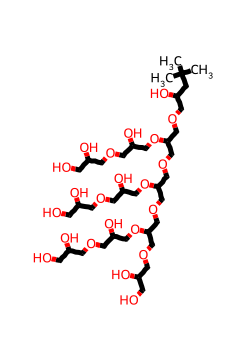 CC(C)(C)CC(O)COCC(COCC(COCC(COCC(O)CO)OCC(O)COCC(O)CO)OCC(O)COCC(O)CO)OCC(O)COCC(O)CO